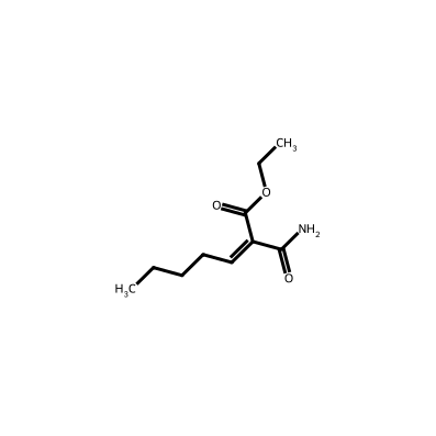 CCCCC=C(C(N)=O)C(=O)OCC